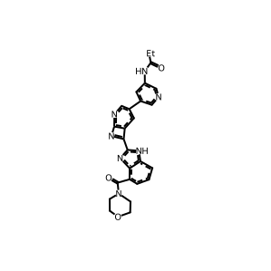 CCC(=O)Nc1cncc(-c2cnc3c(c2)C(c2nc4c(C(=O)N5CCOCC5)cccc4[nH]2)=N3)c1